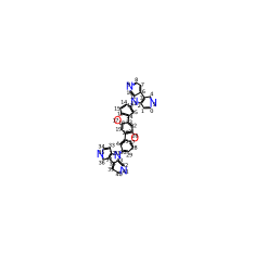 c1cc2c(cn1)c1ccncc1n2-c1ccc2oc3cc4c(cc3c2c1)oc1ccc(-n2c3ccncc3c3ccncc32)cc14